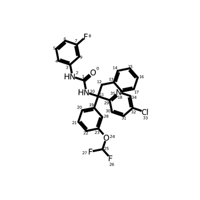 O=C(Nc1cccc(F)c1)NC(Cc1ccccc1)(c1cccc(OC(F)F)c1)c1ccc(Cl)cn1